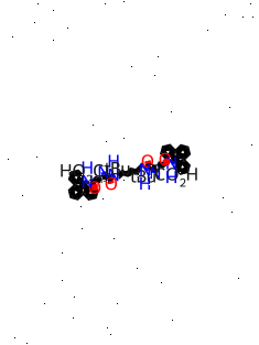 CC(C)(C)N(C(=O)O)[C@@H](CCC(=O)NC(c1ccccc1)(c1ccccc1)c1ccccc1)C(=O)NCCC=CCCNC(=O)[C@H](CCC(=O)NC(c1ccccc1)(c1ccccc1)c1ccccc1)N(C(=O)O)C(C)(C)C